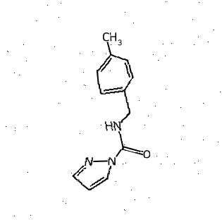 Cc1ccc(CNC(=O)n2cccn2)cc1